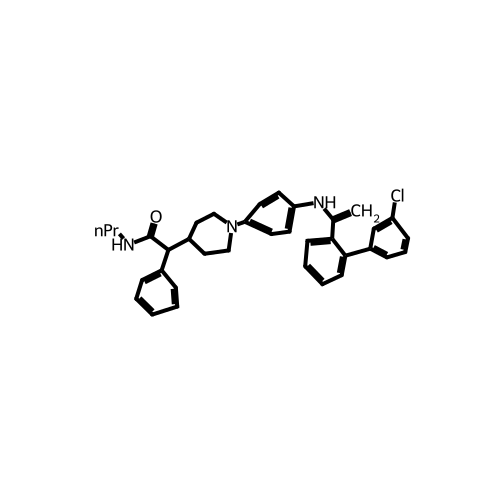 C=C(Nc1ccc(N2CCC(C(C(=O)NCCC)c3ccccc3)CC2)cc1)c1ccccc1-c1cccc(Cl)c1